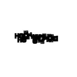 O=C(NCCc1ccc(O)c(O)c1)C1=C=C2CC(=CC1)C(c1ccc(Cl)cc1)C2